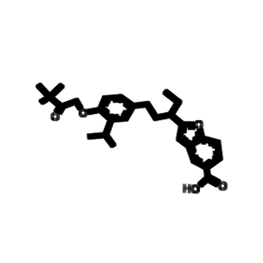 CCC(CCc1ccc(OCC(=O)C(C)(C)C)c(C(C)C)c1)c1cc2cc(C(=O)O)ccc2o1